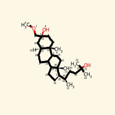 COC[C@]1(O)CC[C@]2(C)C3CC[C@@]4(C)C(CC[C@@H]4[C@H](C)CCC(C)(C)O)C3CC[C@H]2C1